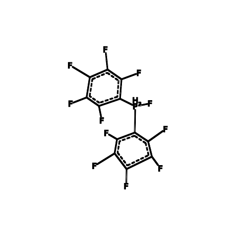 Fc1c(F)c(F)c([PH2](F)c2c(F)c(F)c(F)c(F)c2F)c(F)c1F